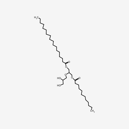 CCCCCCCCCCCCCCCCCC(=O)OCC(COC(=O)CCCCCCCCCCC)OCC(O)CO